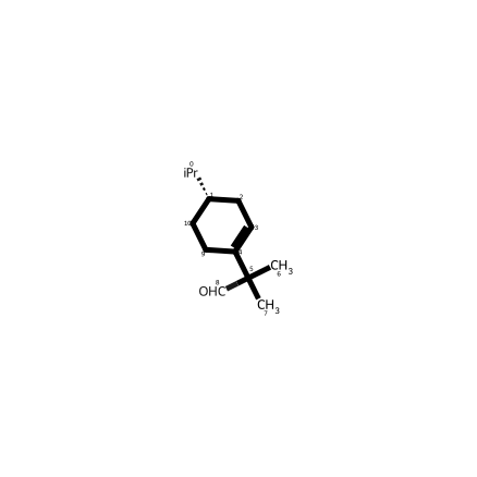 CC(C)[C@@H]1CC=C(C(C)(C)C=O)CC1